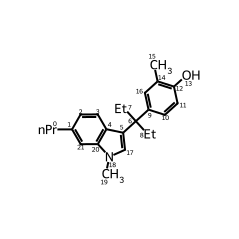 CCCc1ccc2c(C(CC)(CC)c3ccc(O)c(C)c3)cn(C)c2c1